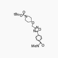 CNC(=O)c1ccc(-c2nc(COC3CCN(C(=O)OC(C)(C)C)CC3)no2)cc1